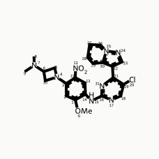 COc1cc(N2CC(N(C)C)C2)c([N+](=O)[O-])cc1Nc1ncc(Cl)c(-c2cnn3ccccc23)n1